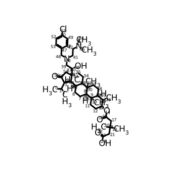 CC(C)C1=C2[C@H]3CC[C@@H]4[C@@]5(C)CC[C@H](OC(=O)CC(C)(C)CC(=O)O)[C@H](C)[C@@H]5CC[C@@]4(C)[C@]3(C)CC[C@@]2([C@H](O)CN(CCN(C)C)Cc2ccc(Cl)cc2)CC1=O